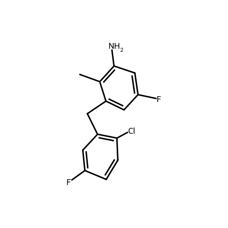 Cc1c(N)cc(F)cc1Cc1cc(F)ccc1Cl